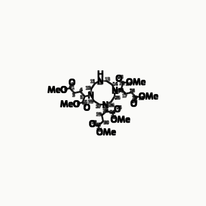 COC(=O)CCC(C(=O)OC)N1CCNCCN([C@H](CCC(=O)OC)C(=O)OC)CCN(C(CCC(=O)OC)C(=O)OC)CC1